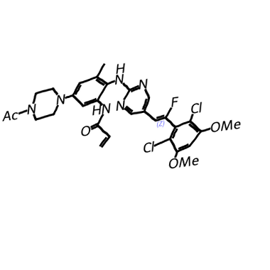 C=CC(=O)Nc1cc(N2CCN(C(C)=O)CC2)cc(C)c1Nc1ncc(/C=C(\F)c2c(Cl)c(OC)cc(OC)c2Cl)cn1